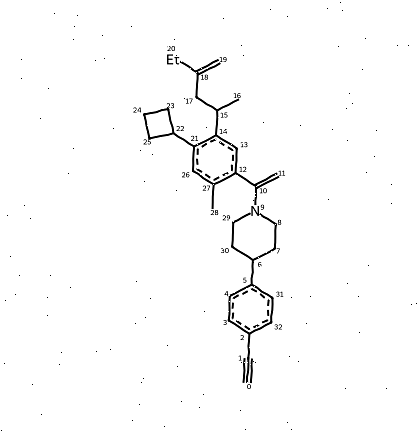 C#Cc1ccc(C2CCN(C(=C)c3cc(C(C)CC(=C)CC)c(C4CCC4)cc3C)CC2)cc1